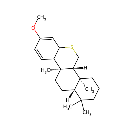 COC1=CC2SC[C@@H]3[C@@]4(C)CCCC(C)(C)[C@@H]4CC[C@@]3(C)C2C=C1